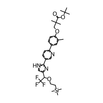 Cc1cc(-c2ccc(-c3nc(C(OCC[Si](C)(C)C)C(F)(F)F)c[nH]3)cn2)ccc1OCC(C)(C)C(=O)OC(C)(C)C